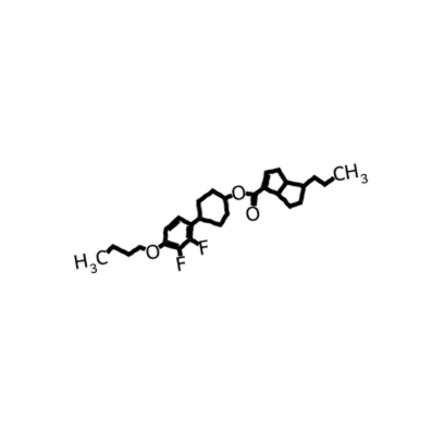 CCCCOc1ccc(C2CCC(OC(=O)C3=CCC4C(CCC)CCC34)CC2)c(F)c1F